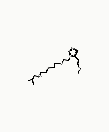 COCCc1cnnn1CCOCCOCCNCC(C)C